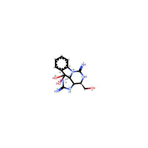 N=C1NC2[C@H](CO)NC(=N)N3c4ccccc4C(O)(O)[C@]23N1